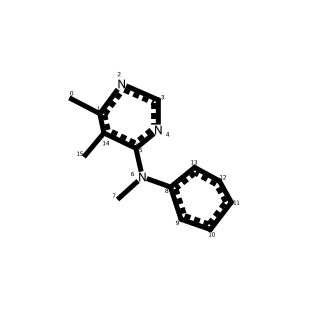 Cc1ncnc(N(C)c2ccccc2)c1C